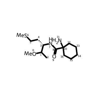 COC(C)[C@H](CCSC)NC(=O)C1(N)CCCCC1